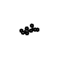 c1ccc(N(c2ccc3c4cc5ccccc5cc4n(-c4ccccc4)c3c2)c2cccc3c2oc2c4ccccc4ccc32)cc1